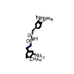 COc1ccc(/C=C/[S+]([O-])N[S+]([O-])/C=C/c2ccc(OC)c(N)c2)cc1N